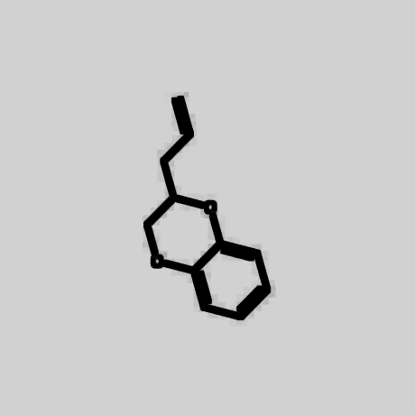 C=CCC1COc2ccccc2O1